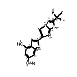 COc1cc(O)c2cc(-c3cn4nc(C(C)(F)F)sc4n3)oc2c1